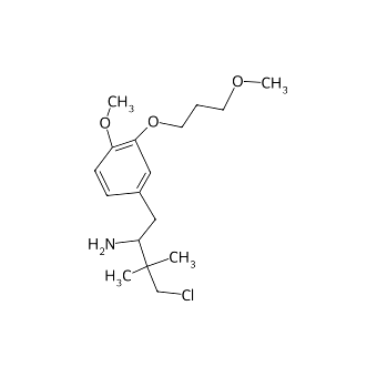 COCCCOc1cc(CC(N)C(C)(C)CCl)ccc1OC